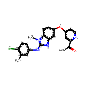 CNC(=O)c1cc(Oc2ccc3c(c2)nc(Nc2ccc(Br)c(C(F)(F)F)c2)n3C)ccn1